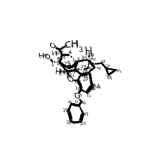 CC(=O)[C@H]1C[C@@]23C=C[C@@]1(CO)[C@@H]1Oc4c(OCc5ccccc5)ccc5c4[C@@]12CCN(CC1CC1)[C@@H]3C5